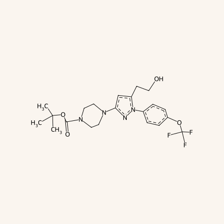 CC(C)(C)OC(=O)N1CCN(c2cc(CCO)n(-c3ccc(OC(F)(F)F)cc3)n2)CC1